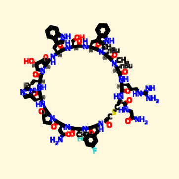 CCCC[C@H]1C(=O)N(C)[C@@H](CCCC)C(=O)N[C@@H](CCCNC(=N)N)C(=O)N[C@H](C(=O)NCC(N)=O)CSCC(=O)N[C@@H](Cc2cc(F)cc(F)c2)C(=O)N(C)[C@@H](C)C(=O)N[C@@H](CC(N)=O)C(=O)N2CCC[C@H]2C(=O)N[C@@H](Cc2cnc[nH]2)C(=O)N[C@@H](CC(C)C)C(=O)N2C[C@H](O)C[C@H]2C(=O)N[C@@H](Cc2c[nH]c3ccccc23)C(=O)N[C@@H](CO)C(=O)N[C@@H](Cc2c[nH]c3ccccc23)C(=O)N1C